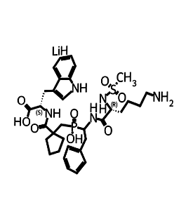 CS(=O)(=O)N[C@H](CCCCN)C(=O)NC(Cc1ccccc1)P(=O)(O)CC1(C(=O)N[C@@H](Cc2c[nH]c3ccccc23)C(=O)O)CCCC1.[LiH]